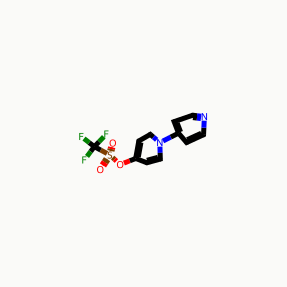 O=S(=O)(OC1=CCN(c2ccncc2)C=C1)C(F)(F)F